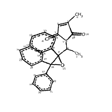 CC1=CC(=O)N(C(C)C2(c3ccccc3)OC2(c2ccccc2)c2ccccc2)C1=O